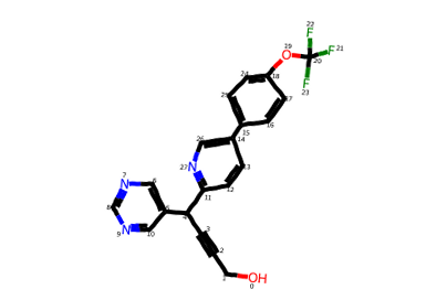 OCC#CC(c1cncnc1)c1ccc(-c2ccc(OC(F)(F)F)cc2)cn1